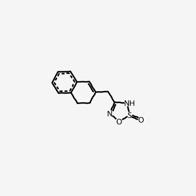 O=S1NC(CC2=Cc3ccccc3CC2)=NO1